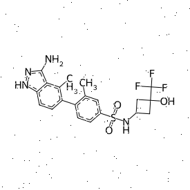 Cc1cc(S(=O)(=O)NC2CC(O)(C(F)(F)F)C2)ccc1-c1ccc2[nH]nc(N)c2c1C